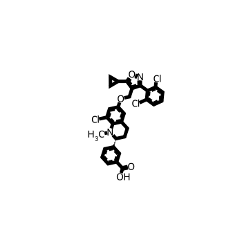 CN1c2c(Cl)cc(OCc3c(-c4c(Cl)cccc4Cl)noc3C3CC3)cc2CC[C@@H]1c1cccc(C(=O)O)c1